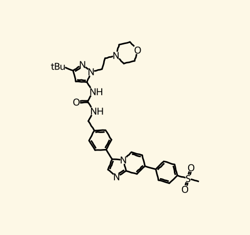 CC(C)(C)c1cc(NC(=O)NCc2ccc(-c3cnc4cc(-c5ccc(S(C)(=O)=O)cc5)ccn34)cc2)n(CCN2CCOCC2)n1